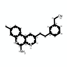 Cc1ccc2c(c1)nc(N)c1ncc(CCc3cccc(CC#N)c3)cc12